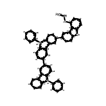 OBOc1cccc2oc3ccc(-c4ccc5c(c4)c4cc(-c6ccc7c(c6)c6ccccc6n7-c6ccccc6)ccc4n5-c4ccccc4)cc3c12